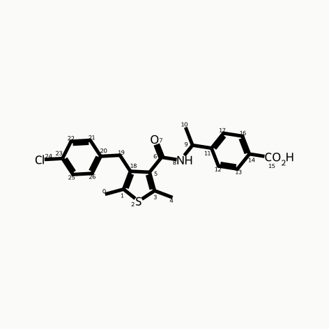 Cc1sc(C)c(C(=O)NC(C)c2ccc(C(=O)O)cc2)c1Cc1ccc(Cl)cc1